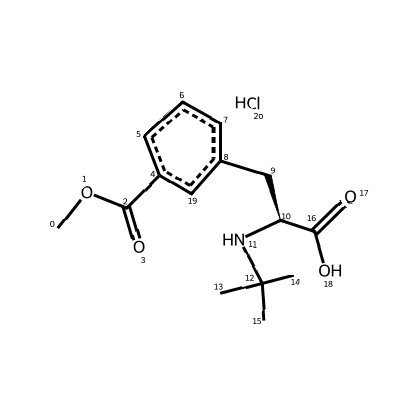 COC(=O)c1cccc(C[C@H](NC(C)(C)C)C(=O)O)c1.Cl